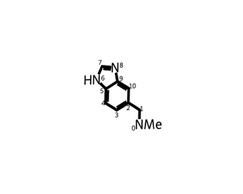 CNCc1ccc2[nH]cnc2c1